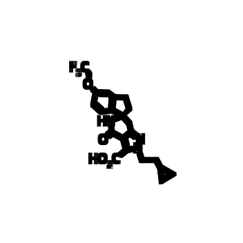 O=C1N[C@@]2(CCc3cc(OCC(F)(F)F)ccc32)Cc2nn(CCC3CC3)c(C(=O)O)c21